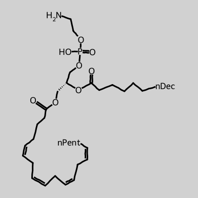 CCCCC/C=C\C/C=C\C/C=C\C/C=C\CCCC(=O)OC[C@H](COP(=O)(O)OCCN)OC(=O)CCCCCCCCCCCCCCC